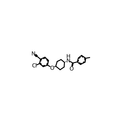 Cc1ccc(C(=O)N[C@H]2CC[C@H](Oc3ccc(C#N)c(Cl)c3)CC2)cc1